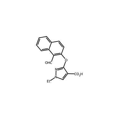 CCn1cc(C(=O)O)c(Oc2ccc3ccccc3c2C=O)n1